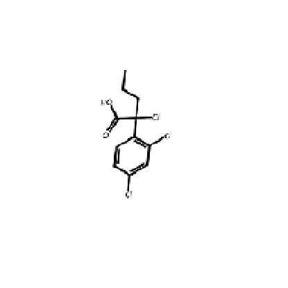 CCCC(Cl)(C(=O)O)c1ccc(Cl)cc1Cl